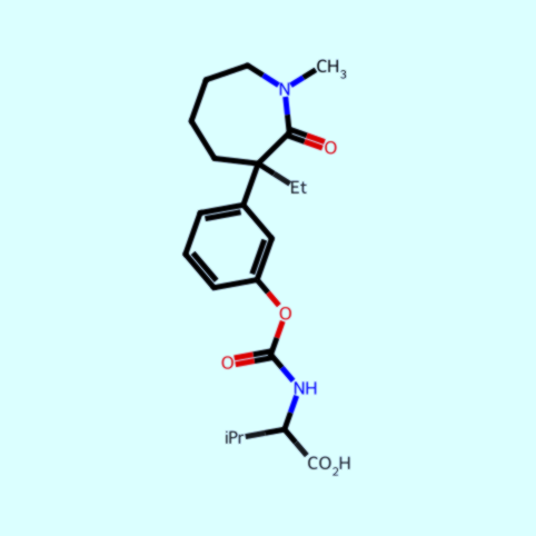 CCC1(c2cccc(OC(=O)NC(C(=O)O)C(C)C)c2)CCCCN(C)C1=O